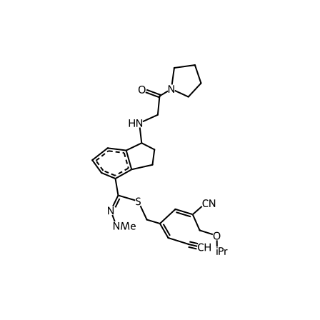 C#C/C=C(\C=C(\C#N)COC(C)C)CS/C(=N\NC)c1cccc2c1CCC2NCC(=O)N1CCCC1